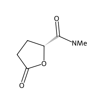 CNC(=O)[C@H]1CCC(=O)O1